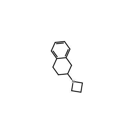 c1ccc2c(c1)CCC(N1CCC1)C2